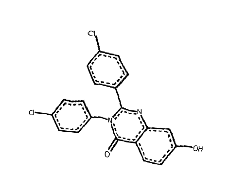 O=c1c2ccc(O)cc2nc(-c2ccc(Cl)cc2)n1-c1ccc(Cl)cc1